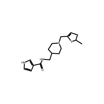 CC1CC=C(CN2CCC(CNC(=O)c3cc[nH]c3)CC2)S1